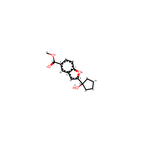 COC(=O)c1ccc2oc(C3(O)CCCC3)cc2c1